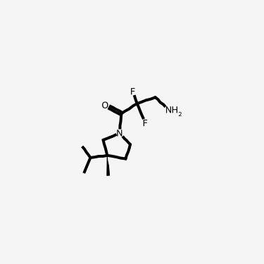 CC(C)[C@@]1(C)CCN(C(=O)C(F)(F)CN)C1